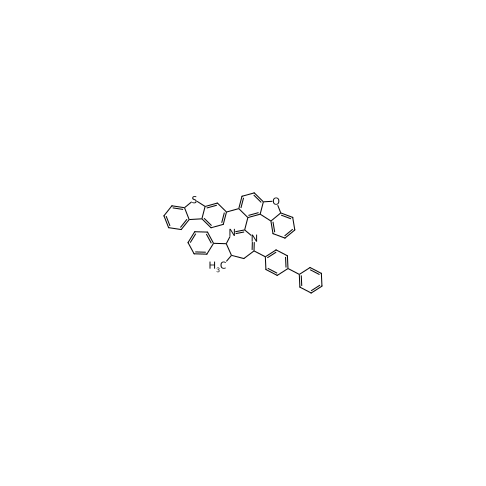 CC1CC(c2ccc(-c3ccccc3)cc2)=NC(c2c(-c3ccc4c(c3)sc3ccccc34)ccc3oc4ccccc4c23)=NC1c1ccccc1